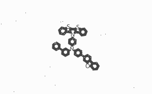 c1ccc(-c2cccc(N(c3ccc(-c4ccc5c(c4)oc4ccccc45)cc3)c3ccc(-n4c5c6ccccc6sc5c5sc6ccccc6c54)cc3)c2)cc1